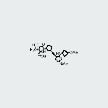 CNc1ncc(C#C[C@@H]2CCC[C@H](NC(=O)[C@H](C)N(C)C(=O)OC(C)(C)C)C2)c(Nc2ccc(OC)cc2)n1